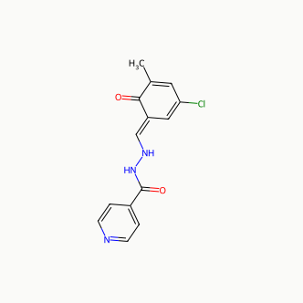 CC1=CC(Cl)=C/C(=C\NNC(=O)c2ccncc2)C1=O